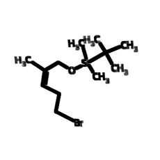 CC(=CCCBr)CO[Si](C)(C)C(C)(C)C